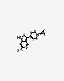 Brc1cc2c(cn1)C(C1=CCN(C3CC3)CC1)CN2